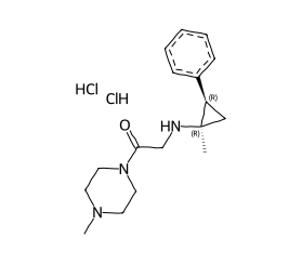 CN1CCN(C(=O)CN[C@]2(C)C[C@@H]2c2ccccc2)CC1.Cl.Cl